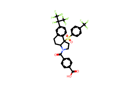 O=C(O)c1ccc(C(=O)N2CCC3(S(=O)(=O)c4ccc(C(F)(F)F)cc4)c4ccc(C(F)(C(F)(F)F)C(F)(F)F)cc4CCC23)cc1